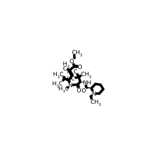 CCOC(=O)/C(C)=C/C(C(C)C)N(C)C(=O)[C@@H](NC(=O)[C@H]1CCCCN1CC)C(C)(C)C